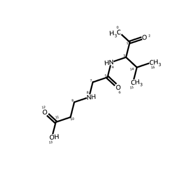 CC(=O)C(NC(=O)CNCCC(=O)O)C(C)C